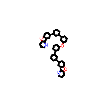 c1cc(Oc2cccc(-c3cccc(-c4ccc5oc6cccnc6c5c4)c3)c2)cc(-c2cccc(-c3ccc4oc5cccnc5c4c3)c2)c1